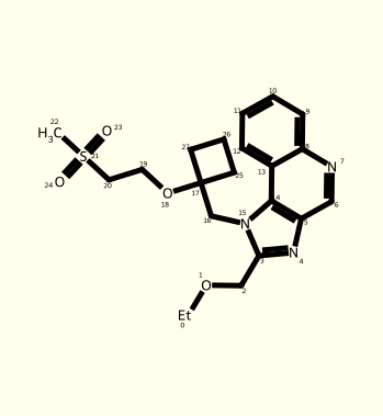 CCOCc1nc2cnc3ccccc3c2n1CC1(OCCS(C)(=O)=O)CCC1